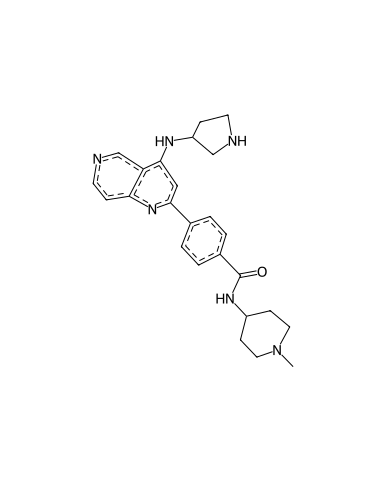 CN1CCC(NC(=O)c2ccc(-c3cc(NC4CCNC4)c4cnccc4n3)cc2)CC1